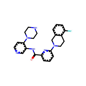 O=C(Nc1cnccc1N1CCNCC1)c1cccc(N2CCc3c(F)cccc3C2)n1